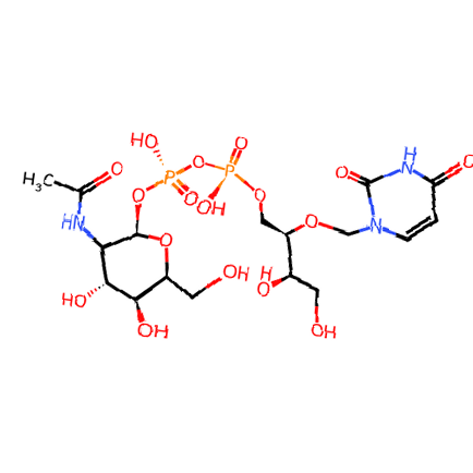 CC(=O)NC1[C@@H](O[P@@](=O)(O)O[P@@](=O)(O)OC[C@@H](OCn2ccc(=O)[nH]c2=O)[C@H](O)CO)OC(CO)[C@@H](O)[C@@H]1O